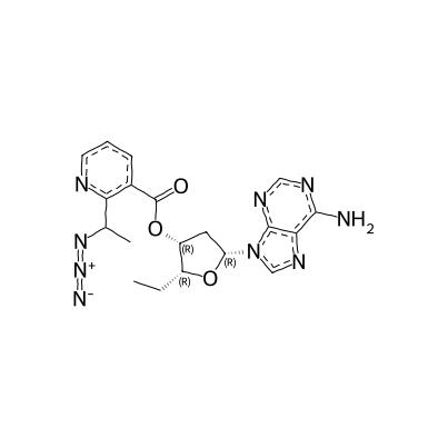 CC[C@H]1O[C@@H](n2cnc3c(N)ncnc32)C[C@H]1OC(=O)c1cccnc1C(C)N=[N+]=[N-]